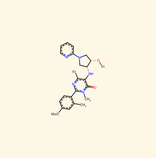 CCO[C@H]1CN(c2ccccn2)C[C@H]1Nc1c(CC)nc(-c2ccc(OC)cc2C)n(C)c1=O